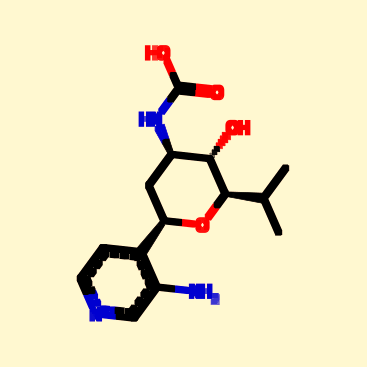 CC(C)[C@H]1O[C@@H](c2ccncc2N)C[C@@H](NC(=O)O)[C@@H]1O